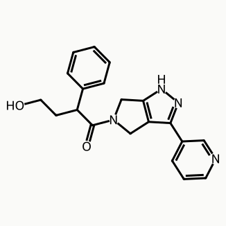 O=C(C(CCO)c1ccccc1)N1Cc2[nH]nc(-c3cccnc3)c2C1